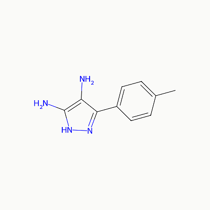 Cc1ccc(-c2n[nH]c(N)c2N)cc1